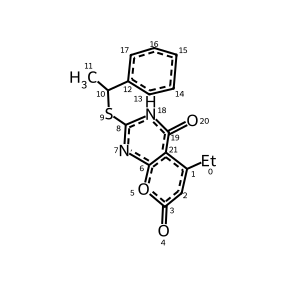 CCc1cc(=O)oc2nc(SC(C)c3ccccc3)[nH]c(=O)c12